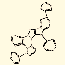 c1ccc(-c2ccc3c(c2)c2cc4c5ccccc5c5c(-c6ccccc6)cccc5n4c2n3-c2ccccc2)cc1